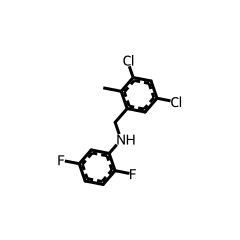 Cc1c(Cl)cc(Cl)cc1CNc1cc(F)ccc1F